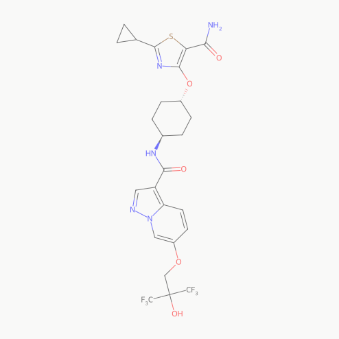 NC(=O)c1sc(C2CC2)nc1O[C@H]1CC[C@H](NC(=O)c2cnn3cc(OCC(O)(C(F)(F)F)C(F)(F)F)ccc23)CC1